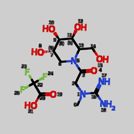 CN(CC(=O)N1C[C@H](O)[C@@H](O)[C@@H](O)C1CO)C(=N)N.O=C(O)C(F)(F)F